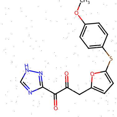 COc1ccc(Sc2ccc(CC(=O)C(=O)c3nc[nH]n3)o2)cc1